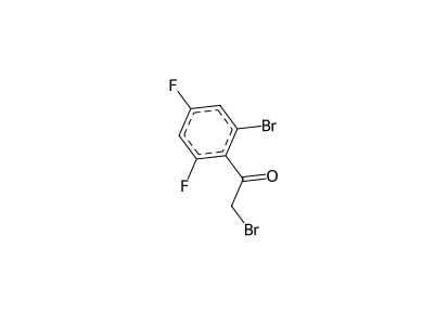 O=C(CBr)c1c(F)cc(F)cc1Br